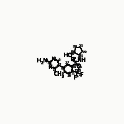 Cc1nc(N)ncc1-c1ccc(C(F)(F)F)c(S(=O)(=O)N[C@H]2CCC[C@H]2O)c1